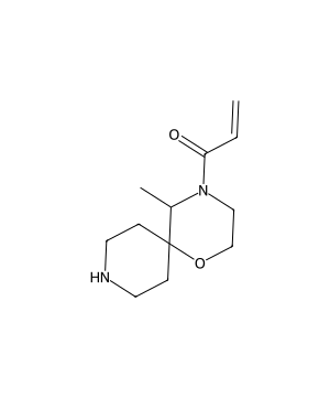 C=CC(=O)N1CCOC2(CCNCC2)C1C